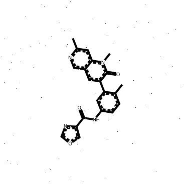 Cc1cc2c(cn1)cc(-c1cc(NC(=O)c3cocn3)ccc1C)c(=O)n2C